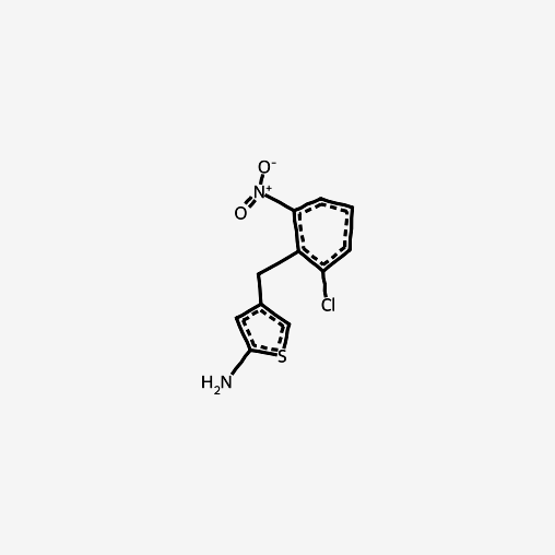 Nc1cc(Cc2c(Cl)cccc2[N+](=O)[O-])cs1